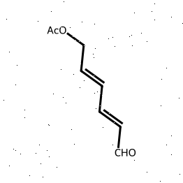 CC(=O)OCC=CC=CC=O